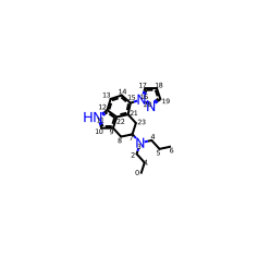 CCCN(CCC)C1Cc2c[nH]c3ccc(-n4cccn4)c(c23)C1